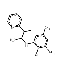 Cc1cc(N)c(Cl)c(NC(C)C(I)c2cnccn2)c1